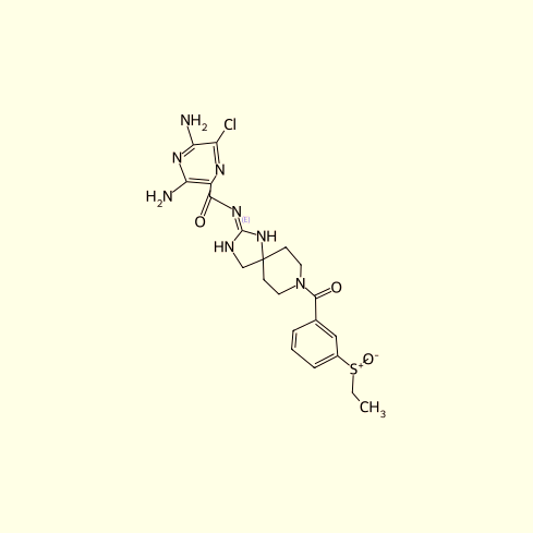 CC[S+]([O-])c1cccc(C(=O)N2CCC3(CC2)CN/C(=N\C(=O)c2nc(Cl)c(N)nc2N)N3)c1